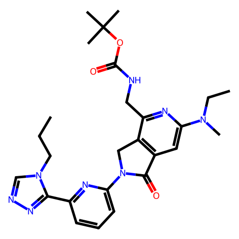 CCCn1cnnc1-c1cccc(N2Cc3c(cc(N(C)CC)nc3CNC(=O)OC(C)(C)C)C2=O)n1